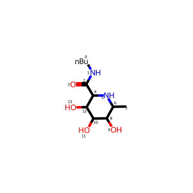 CCCCNC(=O)C1NC(C)C(O)C(O)C1O